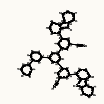 N#Cc1cc(-c2cc(-c3cccc(-c4ccccc4)c3)cc(-c3cc(C#N)cc(-c4cccc5c4sc4ccccc45)c3)c2)cc(-c2cccc3c2sc2ccccc23)c1